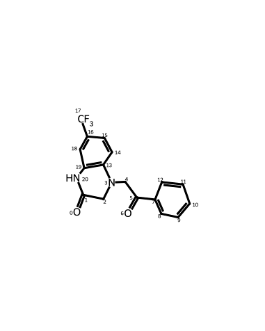 O=C1CN(CC(=O)c2ccccc2)c2ccc(C(F)(F)F)cc2N1